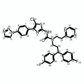 O=C(Nc1nc(-c2ccc(-n3ccnn3)cc2)c(Cl)s1)N(CCc1cnccn1)CCC(c1ccc(F)cc1)c1ccc(F)cc1